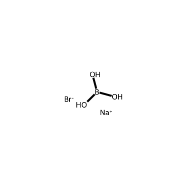 OB(O)O.[Br-].[Na+]